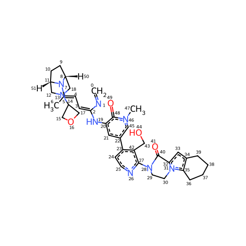 C=N/C(=C\C=C(/C)N1[C@@H]2CC[C@H]1CN(C1COC1)C2)Nc1cc(-c2ccnc(N3CCn4c(cc5c4CCCC5)C3=O)c2CO)cn(C)c1=O